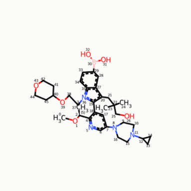 CO[C@@H](C)c1ncc(N2CCN(C3CC3)CC2)cc1-c1c(CC(C)(C)CO)c2cc(B(O)O)ccc2n1CCOC1CCOCC1